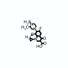 COc1c(N2CCN(C)C(C)C2)c(F)cc2c(=O)c(C(=O)O)cn(C3CC3)c12